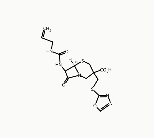 C=CCNC(=O)NC1C(=O)N2CC(CSc3nnco3)(C(=O)O)CS[C@H]12